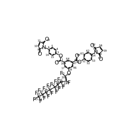 O=C(Oc1ccc(N2C(=O)C=CC2=O)cc1)c1cc(OC(F)=C(F)C(F)(F)C(F)(F)C(F)(F)C(F)(F)C(F)(F)C(F)(F)C(F)(F)F)cc(C(=O)Oc2ccc(N3C(=O)C=CC3=O)cc2)c1